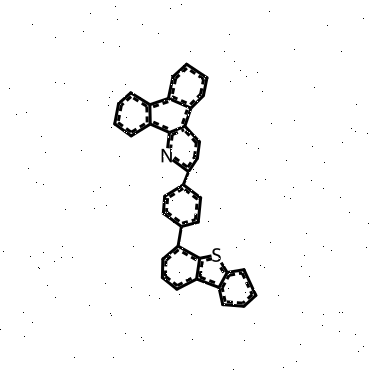 c1ccc2c(c1)sc1c(-c3ccc(-c4ccc5c6ccccc6c6ccccc6c5n4)cc3)cccc12